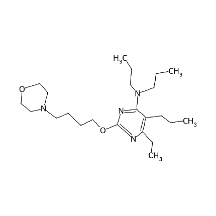 CCCc1c(CC)nc(OCCCCN2CCOCC2)nc1N(CCC)CCC